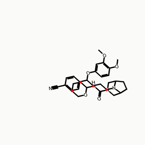 COc1ccc(OC(CCCN2C3CCC2CN(C(=O)NC2CCCCO2)C3)c2ccc(C#N)cc2)cc1OC